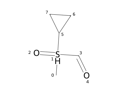 C[SH](=O)(C=O)C1CC1